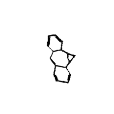 [C]1=C2C=CC=CC2C2CC2C2C=CC=CC12